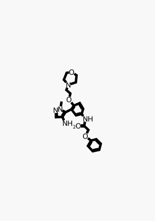 Cn1ncc(N)c1-c1cc(NC(=O)COc2ccccc2)ccc1OCCN1CCOCC1